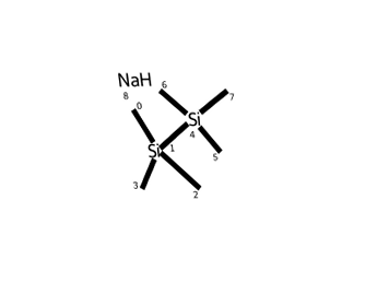 C[Si](C)(C)[Si](C)(C)C.[NaH]